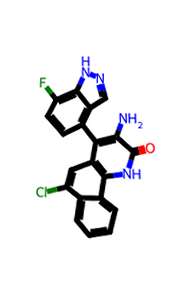 Nc1c(-c2ccc(F)c3[nH]ncc23)c2cc(Cl)c3ccccc3c2[nH]c1=O